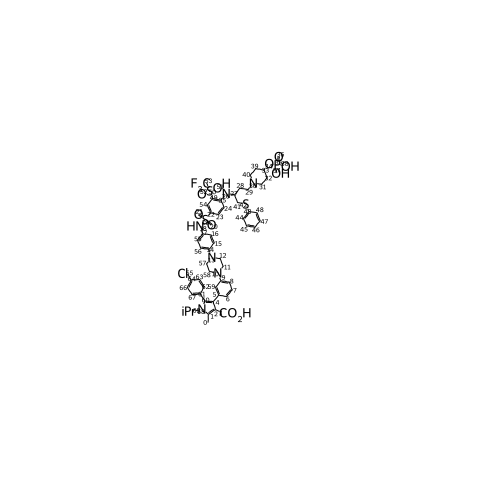 Cc1c(C(=O)O)c(-c2cccc(N3CCN(c4ccc(NS(=O)(=O)c5ccc(NC(CCN6CCC(OP(=O)(O)O)CC6)CSc6ccccc6)c(S(=O)(=O)C(F)(F)F)c5)cc4)CC3)c2)c(-c2ccc(Cl)cc2)n1C(C)C